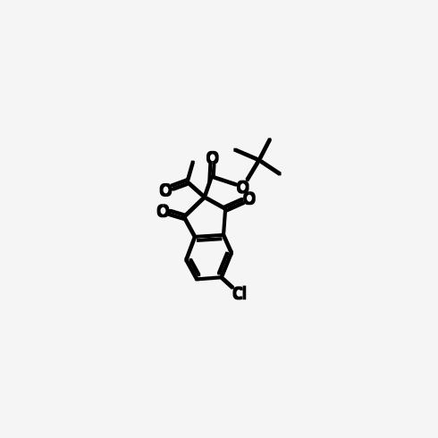 CC(=O)C1(C(=O)OC(C)(C)C)C(=O)c2ccc(Cl)cc2C1=O